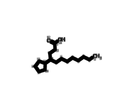 CCCCCCCCC(CCC(=O)O)C1CCCC1